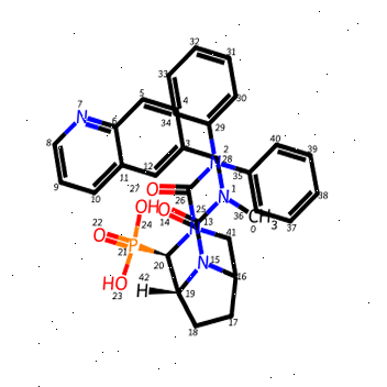 CN(Cc1ccc2ncccc2c1)C(=O)N1C2CC[C@@H]1[C@@H](P(=O)(O)O)N(C(=O)N(c1ccccc1)c1ccccc1)C2